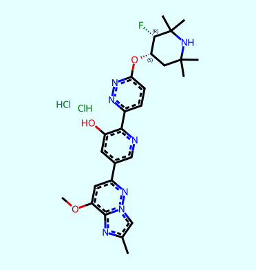 COc1cc(-c2cnc(-c3ccc(O[C@H]4CC(C)(C)NC(C)(C)[C@H]4F)nn3)c(O)c2)nn2cc(C)nc12.Cl.Cl